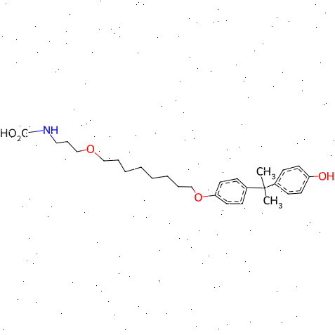 CC(C)(c1ccc(O)cc1)c1ccc(OCCCCCCCCOCCCNC(=O)O)cc1